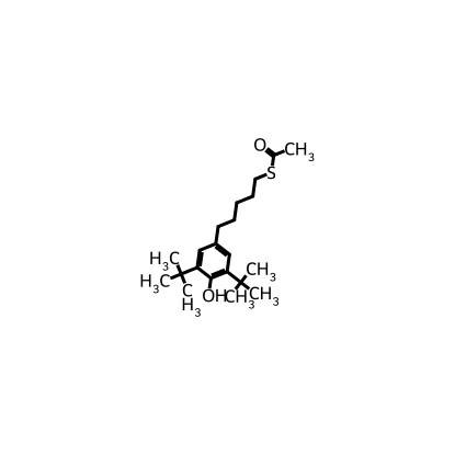 CC(=O)SCCCCCc1cc(C(C)(C)C)c(O)c(C(C)(C)C)c1